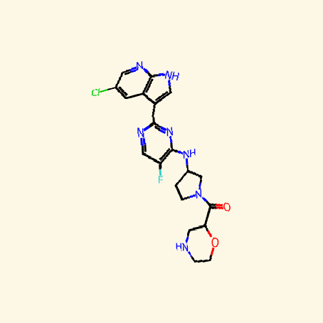 O=C(C1CNCCO1)N1CCC(Nc2nc(-c3c[nH]c4ncc(Cl)cc34)ncc2F)C1